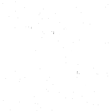 CC(C)(C)C1CCN(C(=O)CCC(C)(C)C2CCN(C3CC3)CC2)CC1